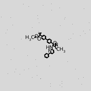 CCOC(=O)C1(c2ccc(-c3ccc(-c4onc(CC)c4Nc4cccc(-c5ccccc5)n4)cc3)cc2)CC1